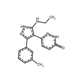 CCNc1[nH]nc(-c2cccc(C)c2)c1-c1ccc(=O)[nH]n1